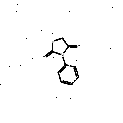 O=C1CSC(=O)N1c1ccccc1